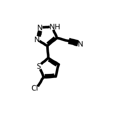 N#Cc1[nH]nnc1-c1ccc(Cl)s1